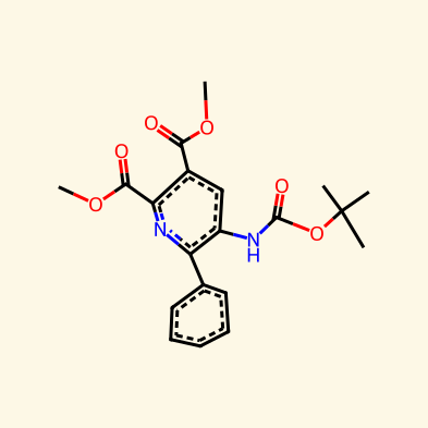 COC(=O)c1cc(NC(=O)OC(C)(C)C)c(-c2ccccc2)nc1C(=O)OC